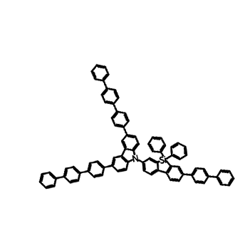 c1ccc(-c2ccc(-c3ccc(-c4ccc5c(c4)c4cc(-c6ccc(-c7ccc(-c8ccccc8)cc7)cc6)ccc4n5-c4ccc5c(c4)[Si](c4ccccc4)(c4ccccc4)c4cc(-c6ccc(-c7ccccc7)cc6)ccc4-5)cc3)cc2)cc1